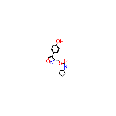 CN(C(=O)OCc1nocc1-c1ccc(O)cc1)C1CCCC1